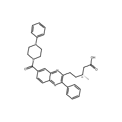 C[C@H](CCc1nc2cc(C(=O)N3CCN(c4ccccc4)CC3)ccc2nc1-c1ccccc1)CC(=O)O